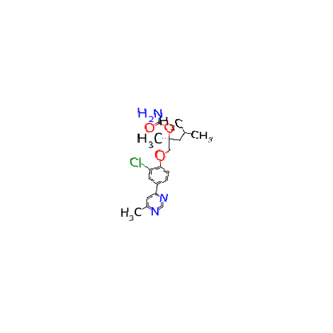 Cc1cc(-c2ccc(OC[C@](C)(CC(C)C)OC(N)=O)c(Cl)c2)ncn1